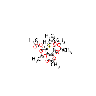 CC(=O)OC[C@H]1SC(O[Si](C)(C)C)[C@H](OC(C)=O)[C@@H](OC(C)=O)[C@@H]1OC(C)=O